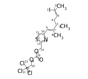 C/C(I)=C/C[C@H](C)/C(C)=C/c1csc(COC(=O)OCC(Cl)(Cl)Cl)n1